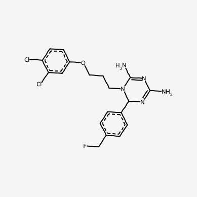 NC1=NC(c2ccc(CF)cc2)N(CCCOc2ccc(Cl)c(Cl)c2)C(N)=N1